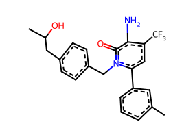 Cc1cccc(-c2cc(C(F)(F)F)c(N)c(=O)n2Cc2ccc(CC(C)O)cc2)c1